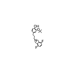 CC(C)(C)Oc1cc(CCCN2Cc3c(F)ccc(F)c3C2)ccc1O